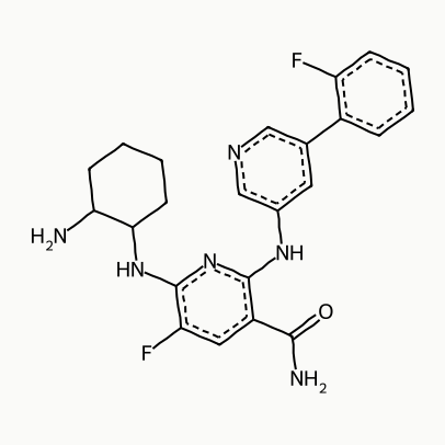 NC(=O)c1cc(F)c(NC2CCCCC2N)nc1Nc1cncc(-c2ccccc2F)c1